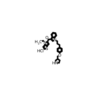 CCn1c(C(=O)c2cn(CCCc3ccc(OCC4CCNC4)cc3)c3ccccc23)cc2sccc21.Cl